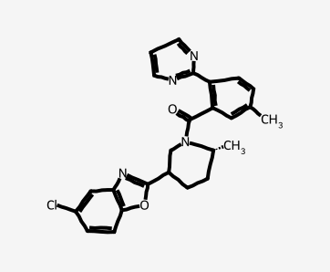 Cc1ccc(-c2ncccn2)c(C(=O)N2CC(c3nc4cc(Cl)ccc4o3)CC[C@H]2C)c1